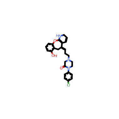 O=C1CN(CCC=C2Cc3c(O)cccc3OC3=C2C=CCN3)CCN1c1ccc(Cl)cc1